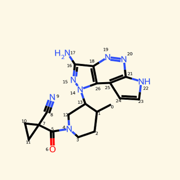 CC1CCN(C(=O)C2(C#N)CC2)CC1n1nc(N)c2nnc3[nH]ccc3c21